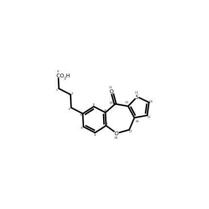 O=C(O)CCCc1ccc2c(c1)C(=O)c1sccc1CO2